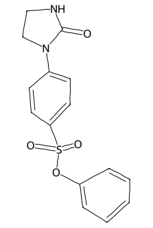 O=C1NCCN1c1ccc(S(=O)(=O)Oc2ccccc2)cc1